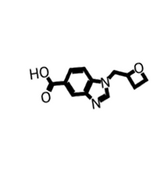 O=C(O)c1ccc2c(c1)ncn2CC1CCO1